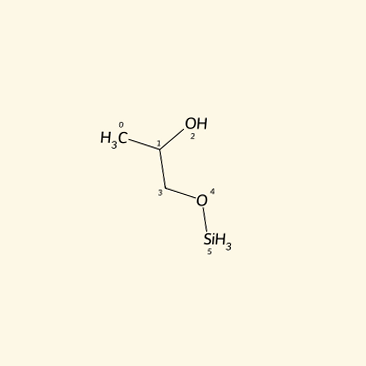 CC(O)CO[SiH3]